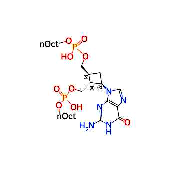 CCCCCCCCOP(=O)(O)OC[C@H]1C[C@@H](n2cnc3c(=O)[nH]c(N)nc32)[C@@H]1COP(=O)(O)OCCCCCCCC